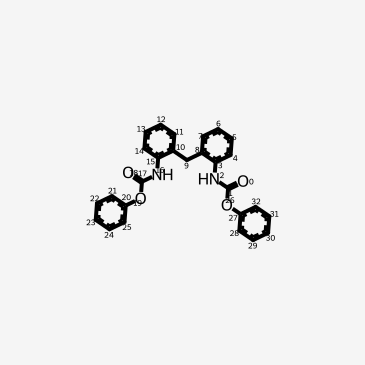 O=C(Nc1ccccc1Cc1ccccc1NC(=O)Oc1ccccc1)Oc1ccccc1